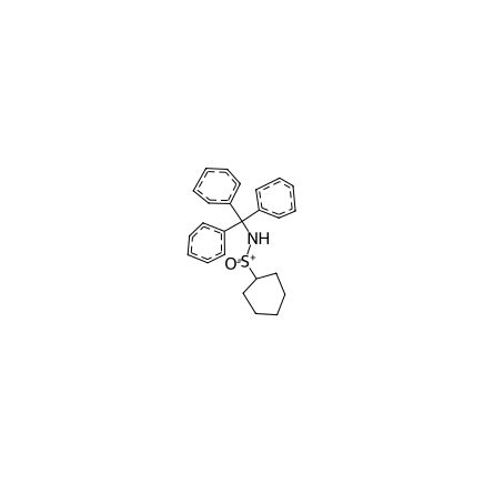 [O-][S+](NC(c1ccccc1)(c1ccccc1)c1ccccc1)C1CCCCC1